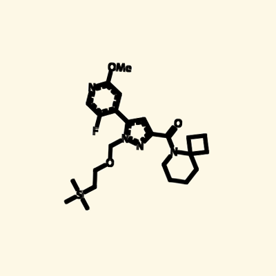 COc1cc(-c2cc(C(=O)N3CCCCC34CCC4)nn2COCC[Si](C)(C)C)c(F)cn1